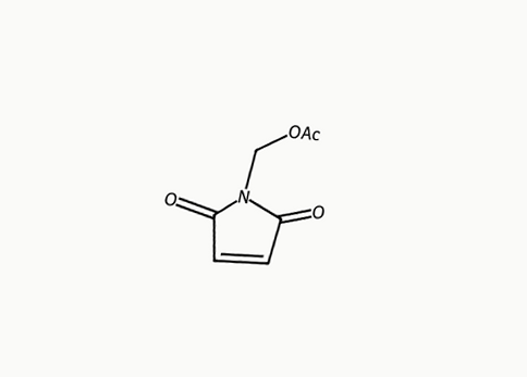 CC(=O)OCN1C(=O)C=CC1=O